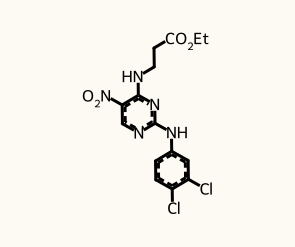 CCOC(=O)CCNc1nc(Nc2ccc(Cl)c(Cl)c2)ncc1[N+](=O)[O-]